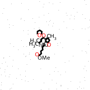 CCCCC(C)(C)C=C[C@H](OC1CCCCO1)[C@H]1[C@H](C)CC(=O)[C@@H]1CC=CCCCC(=O)OC